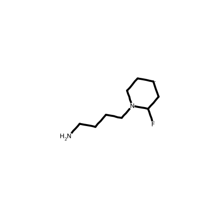 NCCCCN1CC[CH]CC1F